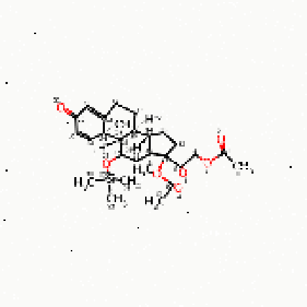 CC(=O)OCC(=O)[C@@]1(OC(C)=O)CC[C@H]2[C@@H]3CCC4=CC(=O)C=C[C@]4(C)[C@H]3C(O[Si](C)(C)C)C[C@@]21C